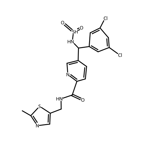 Cc1ncc(CNC(=O)c2ccc(C(N[SH](=O)=O)c3cc(Cl)cc(Cl)c3)cn2)s1